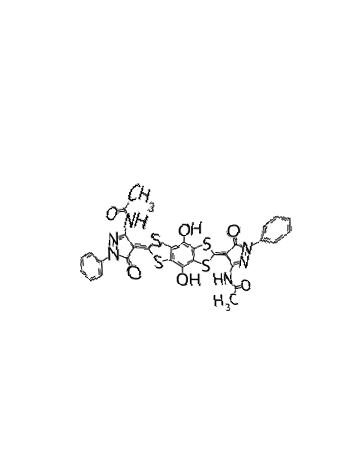 CC(=O)NC1=NN(c2ccccc2)C(=O)C1=C1Sc2c(O)c3c(c(O)c2S1)SC(=C1C(=O)N(c2ccccc2)N=C1NC(C)=O)S3